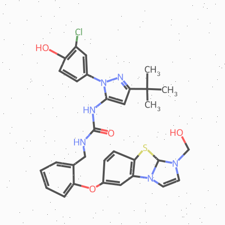 CC(C)(C)c1cc(NC(=O)NCc2ccccc2Oc2ccc3c(c2)N2C=CN(CO)C2S3)n(-c2ccc(O)c(Cl)c2)n1